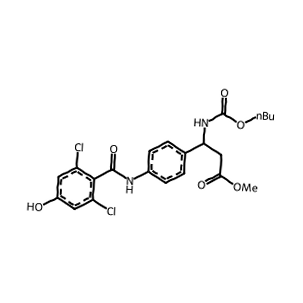 CCCCOC(=O)NC(CC(=O)OC)c1ccc(NC(=O)c2c(Cl)cc(O)cc2Cl)cc1